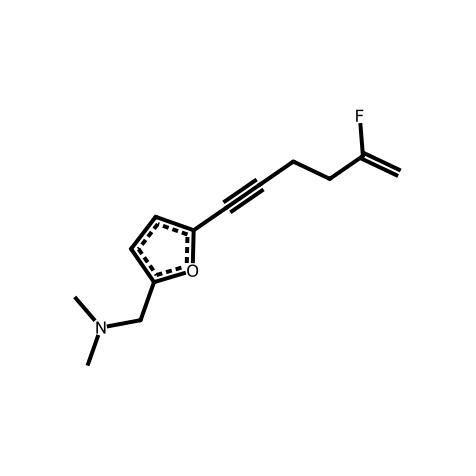 C=C(F)CCC#Cc1ccc(CN(C)C)o1